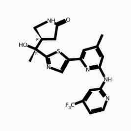 Cc1cc(Nc2cc(C(F)(F)F)ccn2)nc(-c2cnc([C@](C)(O)[C@H]3CNC(=O)C3)s2)c1